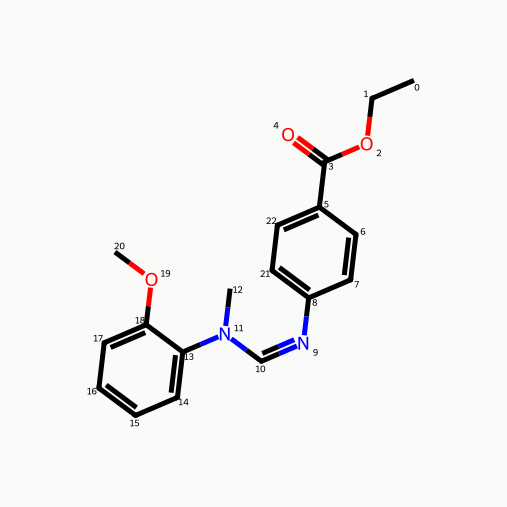 CCOC(=O)c1ccc(/N=C\N(C)c2ccccc2OC)cc1